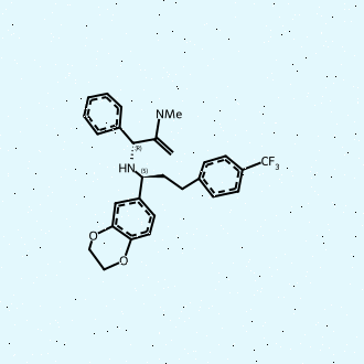 C=C(NC)[C@H](N[C@@H](CCc1ccc(C(F)(F)F)cc1)c1ccc2c(c1)OCCO2)c1ccccc1